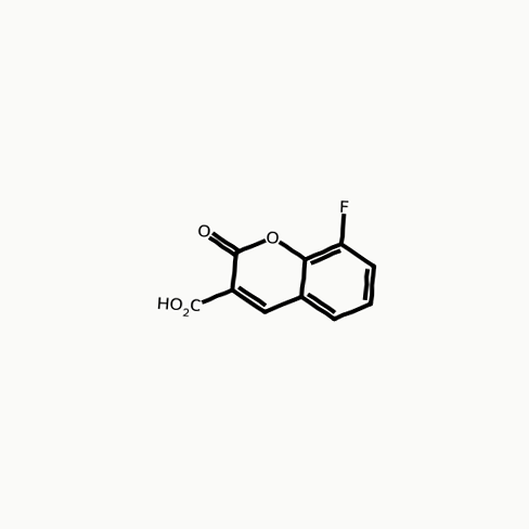 O=C(O)c1cc2cccc(F)c2oc1=O